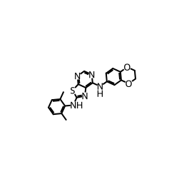 Cc1cccc(C)c1Nc1nc2c(Nc3ccc4c(c3)OCCO4)ncnc2s1